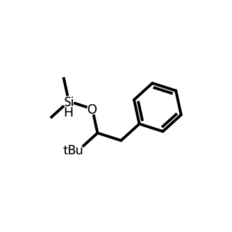 C[SiH](C)OC(Cc1ccccc1)C(C)(C)C